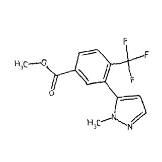 COC(=O)c1ccc(C(F)(F)F)c(-c2ccnn2C)c1